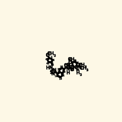 COc1ccc(CNc2nc(-c3cccc4cc(C(=O)NS(=O)(=O)c5nc(C(C)(C)C)ccc5OC)ccc34)ns2)cc1